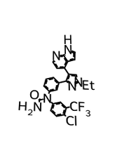 CCn1cc(-c2ccnc3[nH]ccc23)c(-c2cccc(N(C(N)=O)c3ccc(Cl)c(C(F)(F)F)c3)c2)n1